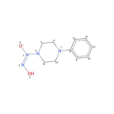 [O-]/[N+](=N/O)N1CCN(c2ccccc2)CC1